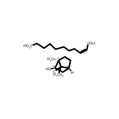 CC1(C)[C@@H]2CC[C@]1(C)[C@H](O)C2.CCCCCCCC/C=C\CCCCCCCC(=O)O